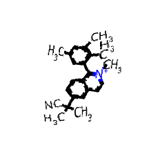 Cc1cc(C)c(C)c(-c2c3ccc(C(C)(C)C#N)cc3cc[n+]2C)c1